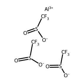 O=S([O-])C(F)(F)F.O=S([O-])C(F)(F)F.O=S([O-])C(F)(F)F.[Al+3]